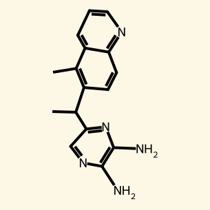 Cc1c(C(C)c2cnc(N)c(N)n2)ccc2ncccc12